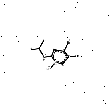 CC(C)Nc1cc(Br)c(Cl)c[n+]1O